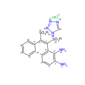 Cl.Nc1cccc(C(=C(c2ccccc2)S(=O)(=O)O)S(=O)(=O)O)c1N.c1nnn[nH]1